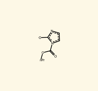 CCCOC(=O)n1ccnc1[O]